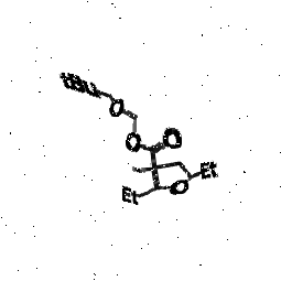 CCC1CC(C)(C(=O)OCOCC(C)(C)C)C(CC)O1